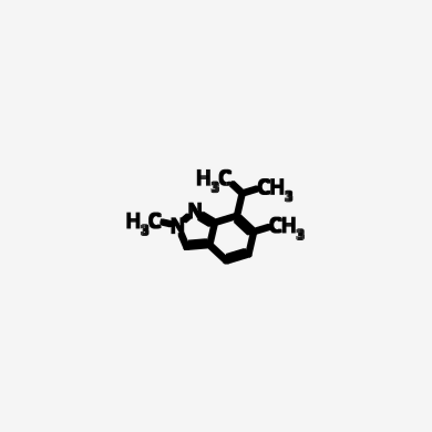 Cc1ccc2cn(C)nc2c1C(C)C